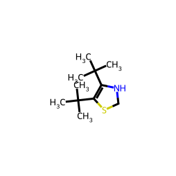 CC(C)(C)C1=C(C(C)(C)C)SCN1